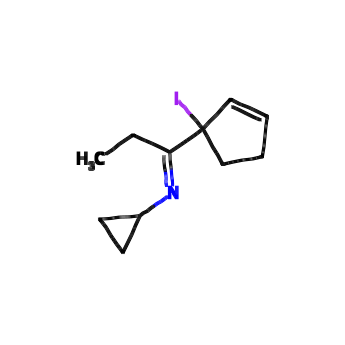 CCC(=NC1CC1)C1(I)C=CCC1